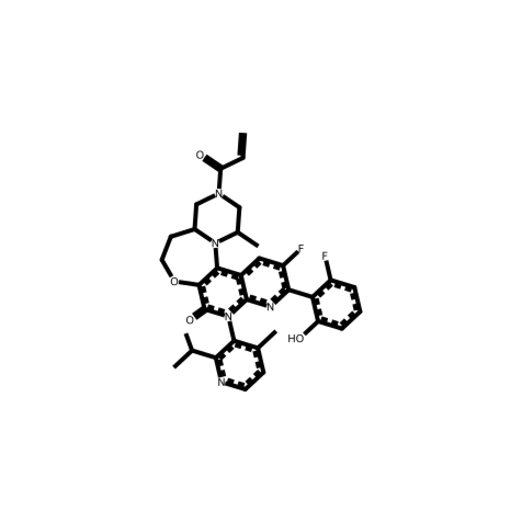 C=CC(=O)N1CC(C)N2c3c(c(=O)n(-c4c(C)ccnc4C(C)C)c4nc(-c5c(O)cccc5F)c(F)cc34)OCCC2C1